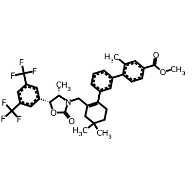 COC(=O)c1ccc(-c2cccc(C3=C(CN4C(=O)O[C@H](c5cc(C(F)(F)F)cc(C(F)(F)F)c5)[C@@H]4C)CC(C)(C)CC3)c2)c(C)c1